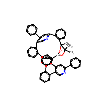 CC1(C)OB2OC1(C)c1ccccc1-c1cc(-c3ccccc3)c(cn1)-c1ccccc1-c1cc2cc(-c2ccccc2-c2cnc(-c3ccccc3)cc2-c2ccccc2)c1